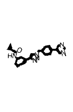 O=C(Nc1cccc(-c2cn(Cc3ccc(-c4cncnc4)cc3)nn2)c1)C1CC1